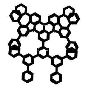 c1ccc(-c2cc(-c3ccccc3)cc(-c3cc(-c4cc(-c5ccccc5)cc(-c5ccccc5)c4)nc(-c4cc5c6c(c4)-n4c7cc(-c8ccccc8)cc(-c8ccccc8)c7c7c(C8CCCCC8)ccc(c74)B6c4ccc(C6CCCCC6)c6c7c(-c8ccccc8)cc(-c8ccccc8)cc7n-5c46)n3)c2)cc1